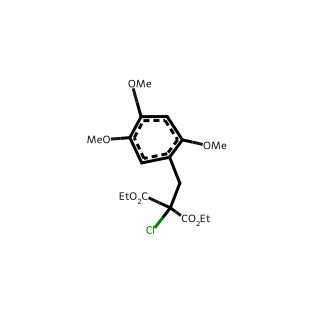 CCOC(=O)C(Cl)(Cc1cc(OC)c(OC)cc1OC)C(=O)OCC